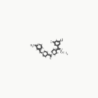 CON=C(c1cc(Cl)cc(Cl)c1)C1CCN(C(=O)C2CCN(Cc3ccnc(N)c3)CC2)CC1